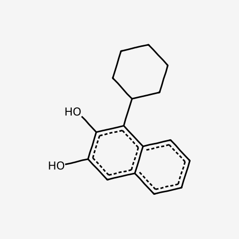 Oc1cc2ccccc2c(C2CCCCC2)c1O